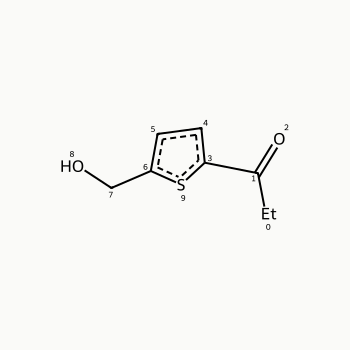 CCC(=O)c1ccc(CO)s1